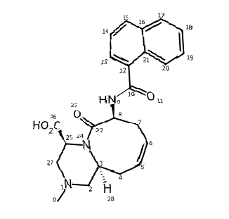 CN1C[C@@H]2C/C=C\C[C@H](NC(=O)c3cccc4ccccc34)C(=O)N2[C@H](C(=O)O)C1